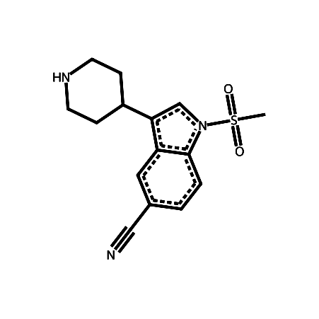 CS(=O)(=O)n1cc(C2CCNCC2)c2cc(C#N)ccc21